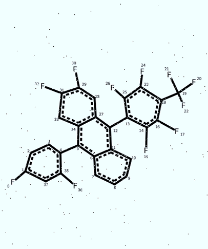 Fc1ccc(-c2c3ccccc3c(-c3c(F)c(F)c(C(F)(F)F)c(F)c3F)c3cc(F)c(F)cc23)c(F)c1